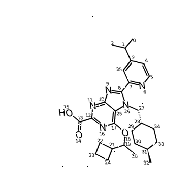 CC(C)c1ccnc(-c2nc3nc(C(=O)O)nc(OC(C)C4CCC4)c3n2C[C@H]2CC[C@H](C)CC2)c1